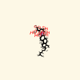 CC(C)CCC[C@@H](C)[C@H]1CCC2C3CC=C4CC(O)(P(=O)(O)OC5=C(O)C(=O)O[C@@H]5[C@@H](O)CO)CC[C@]4(C)C3CC[C@@]21C